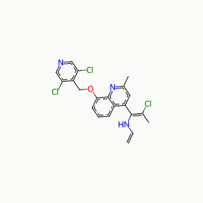 C=CN/C(=C(\C)Cl)c1cc(C)nc2c(OCc3c(Cl)cncc3Cl)cccc12